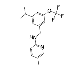 Cc1ccc(NCc2cc(OC(F)(F)F)cc(C(C)C)c2)nc1